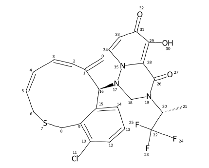 C=C1/C=C\C=C/CSCc2c(Cl)cccc2[C@@H]1N1CN([C@H](C)C(F)(F)F)C(=O)c2c(O)c(=O)ccn21